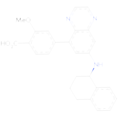 COc1cc(-c2cc(N[C@@H]3CCCc4ccccc43)cc3nccnc23)ccc1C(=O)O